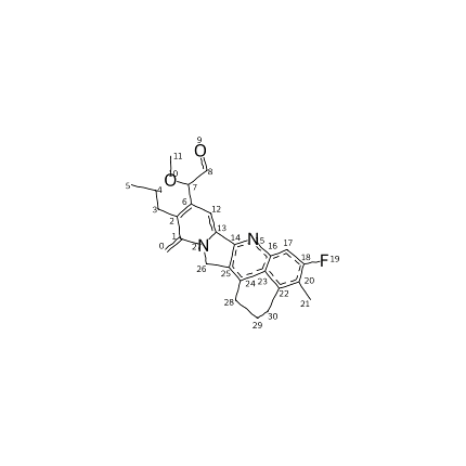 C=C1C(CCC)=C(C(C=O)OC)C=C2c3nc4cc(F)c(C)c5c4c(c3CN12)CCC5